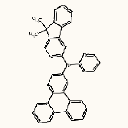 CC1(C)c2ccccc2-c2cc(N(c3ccccc3)c3ccc4c5ccccc5c5ccccc5c4c3)ccc21